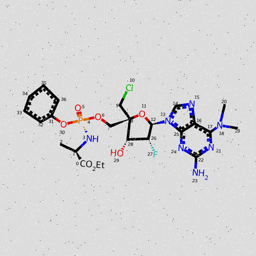 CCOC(=O)[C@@H](C)N[P@](=O)(OC[C@@]1(CCl)O[C@@H](n2cnc3c(N(C)C)nc(N)nc32)[C@H](F)[C@@H]1O)Oc1ccccc1